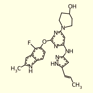 C/C=C/c1cc(Nc2cc(N3CCC(O)CC3)nc(Oc3ccc4[nH]c(C)cc4c3F)n2)n[nH]1